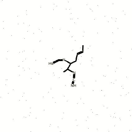 CC=CCC(N=C=N)C(C)N=C=N